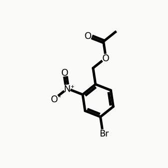 CC(=O)OCc1ccc(Br)cc1[N+](=O)[O-]